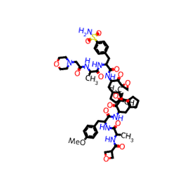 COc1ccc(CC(NC(=O)C(C)NC(=O)C2COC2)C(=O)NC(CC2=C(C3CCC(CC(NC(=O)C(Cc4ccc(S(N)(=O)=O)cc4)NC(=O)C(C)NC(=O)CN4CCOCC4)C(=O)C4(C)CO4)C3)CCC2)C(=O)C2(C)CO2)cc1